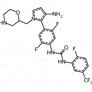 Nc1ccn(CC2CNCCO2)c1-c1cc(F)c(NC(=O)Nc2cc(C(F)(F)F)ccc2F)cc1F